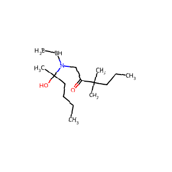 BBN(CC(=O)C(C)(C)CCC)C(C)(O)CCCC